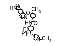 CCN1CCN(Cc2ccc(NC(=O)c3ccc(C)c(Oc4ncnc5cc6[nH]ncc6cc45)c3)cc2C(F)(F)F)CC1